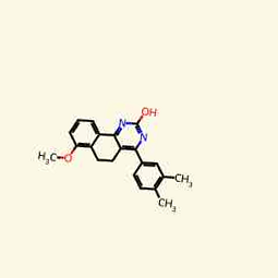 COc1cccc2c1CCc1c(-c3ccc(C)c(C)c3)nc(O)nc1-2